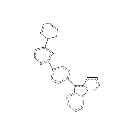 C1=CCC(c2ccnc(-c3ccc(-n4c5ccccc5c5ccccc54)cc3)n2)C=C1